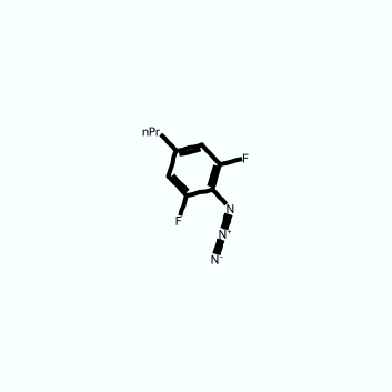 CCCc1cc(F)c(N=[N+]=[N-])c(F)c1